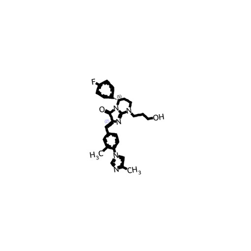 Cc1cn(-c2ccc(/C=C3\N=C4N(CCCO)CC[C@@H](c5ccc(F)cc5)N4C3=O)cc2C)cn1